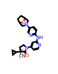 N#C[C@@]1(C2CC2)CCN(c2ccnc(Nc3ccc(N4CC5CCC(C4)O5)cn3)c2)C1=O